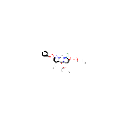 COCOc1ccc(C(OC(C)=O)c2c(C)cc(OCc3ccccc3)nc2C)nc1Cl